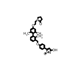 Cc1cc(OCCN2CCCC2=O)cc(C)c1-c1cccc(COc2ccc(-c3cc(O)n[s+]3[O-])cc2)c1C